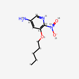 CCCCCOc1cc(N)cnc1[N+](=O)[O-]